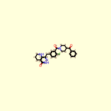 O=C(c1ccccc1)C1CCN(C(=O)c2cc(Cc3n[nH]c(=O)c4c3NCCC4)ccc2F)CC1